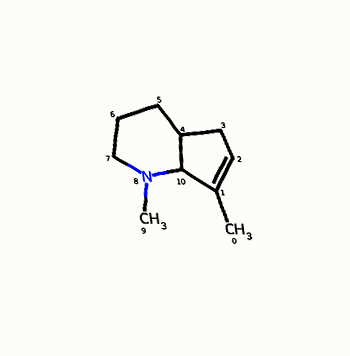 CC1=CCC2CCCN(C)C12